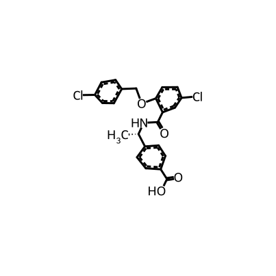 C[C@H](NC(=O)c1cc(Cl)ccc1OCc1ccc(Cl)cc1)c1ccc(C(=O)O)cc1